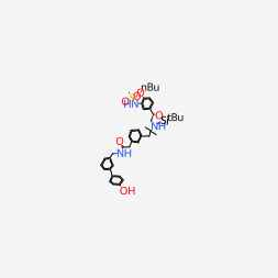 CCCCOc1ccc([C@H](CNC(C)(C)Cc2cccc(CC(=O)NCc3cccc(-c4ccc(O)cc4)c3)c2)O[Si](C)(C)C(C)(C)C)cc1NS(C)(=O)=O